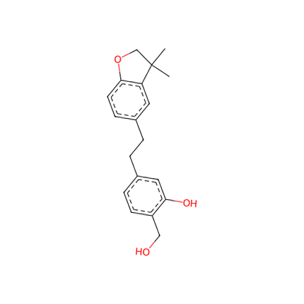 CC1(C)COc2ccc(CCc3ccc(CO)c(O)c3)cc21